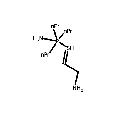 CCCP(N)(CCC)(CCC)[SH]=CCN